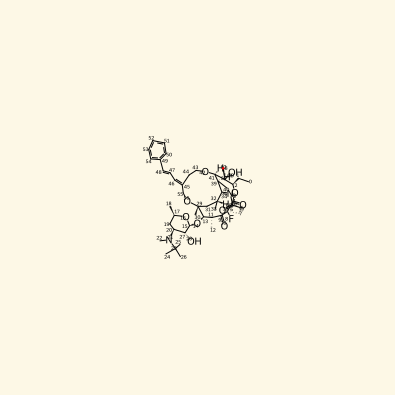 CC[C@H]1OC(=O)[C@@](C)(F)C(=O)[C@H](C)[C@@H](O[C@@H]2O[C@H](C)C[C@H](N(C)C(C)(C)C)[C@H]2O)[C@@]2(C)C[C@@H](C)/C(=N\C(C)=O)[C@H](C)[C@@H](OCC/C(=C\C=C\c3ccccc3)CO2)[C@]1(C)O